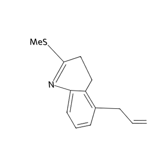 C=CCc1cccc2c1CCC(SC)=N2